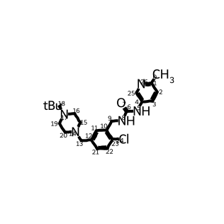 Cc1ccc(NC(=O)NCc2cc(CN3CCN(C(C)(C)C)CC3)ccc2Cl)cn1